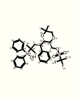 CC1(C)CO[C@@H](COS(=O)(=O)C(F)(F)F)[C@H]([C@H](CC(C)(C)[Si](O)(c2ccccc2)c2ccccc2)c2ccccc2)O1